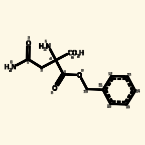 NC(=O)CC(N)(C(=O)O)C(=O)OCc1ccccc1